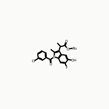 CCC(C)OC(=O)C(C)c1c(C)n(C(=O)c2cccc(Cl)c2)c2cc(F)c(O)cc12